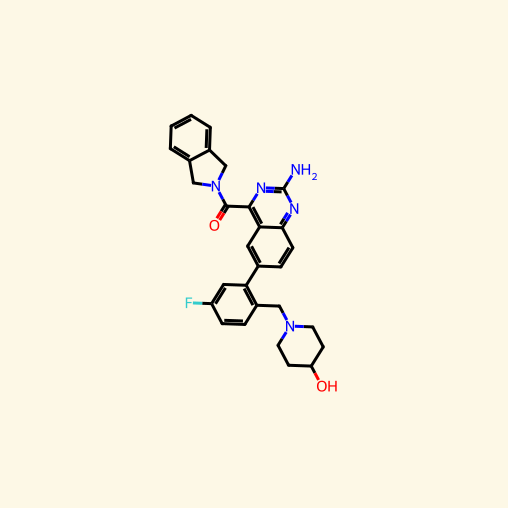 Nc1nc(C(=O)N2Cc3ccccc3C2)c2cc(-c3cc(F)ccc3CN3CCC(O)CC3)ccc2n1